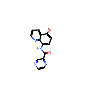 O=C(Nc1ccc(Br)c2cccnc12)c1cnccn1